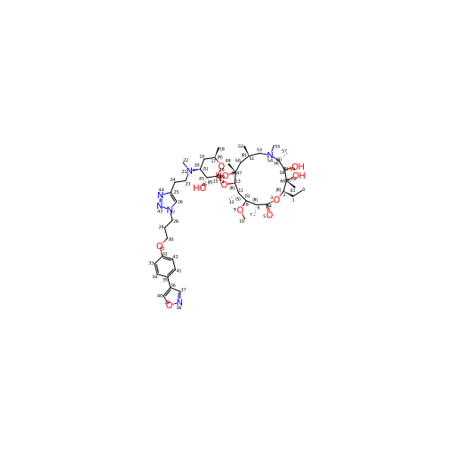 CC[C@H]1OC(=O)[C@H](C)[C@@H](OC)[C@H](C)[C@@H](O[C@@H]2O[C@H](C)C[C@H](N(C)CCc3cn(CCCOc4ccc(-c5cnoc5)cc4)nn3)[C@H]2O)[C@](C)(O)C[C@@H](C)CN(C)[C@H](C)[C@@H](O)[C@]1(C)O